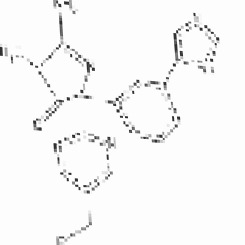 CN1C(=O)C(c2cccc(-c3cnco3)c2)(c2ccc(CF)cn2)N=C1N